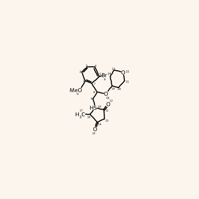 COc1cccc(Br)c1C(C[SH]1C(=O)CC(=O)C1C)OC1CCOCC1